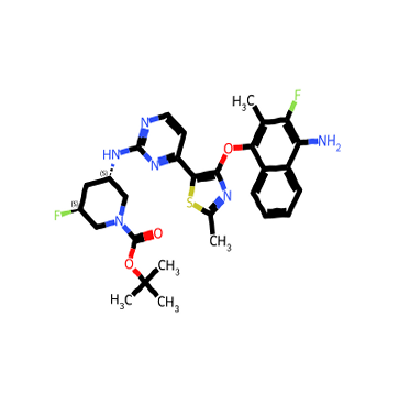 Cc1nc(Oc2c(C)c(F)c(N)c3ccccc23)c(-c2ccnc(N[C@H]3C[C@H](F)CN(C(=O)OC(C)(C)C)C3)n2)s1